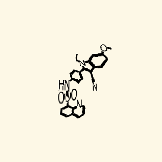 CCn1c(-c2ccc(NS(=O)(=O)c3cccc4cccnc34)cc2)c(C#N)c2ccc(OC)cc21